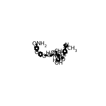 Cc1ncsc1-c1ccc(CNC(=O)[C@@H]2C[C@@H](O)CN2C(=O)[C@@H](NC(=O)COCCOc2ccc(Oc3ccc(C(N)=O)cc3)cc2)C(C)(C)C)cc1